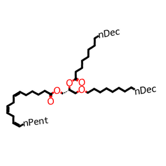 CCCCC/C=C\C/C=C\C/C=C\CCCCC(=O)OC[C@@H](COCCCCCCCCCCCCCCCCCC)OC(=O)CCCCCCCCCCCCCCCCC